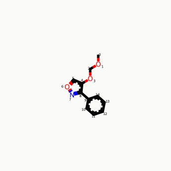 COCOc1conc1-c1ccccc1